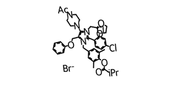 CC(=O)N1CCN(c2c(COc3ccccc3)[n+](Cc3cc(C)c(OC(=O)C(C)C)c(C)c3)c(-c3ccc(Cl)cc3Cl)n2CC2OCCO2)CC1.[Br-]